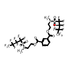 CN(CCOC(=O)c1cccc(C(=O)OCCN(C)S(=O)(=O)C(F)(F)C(F)(F)C(F)(F)C(F)(F)F)c1)S(=O)(=O)C(F)(F)C(F)(F)C(F)(F)C(F)(F)F